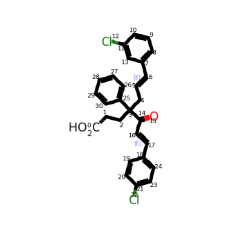 O=C(O)CCC(C/C=C/c1cccc(Cl)c1)(C(=O)/C=C/c1ccc(Cl)cc1)c1ccccc1